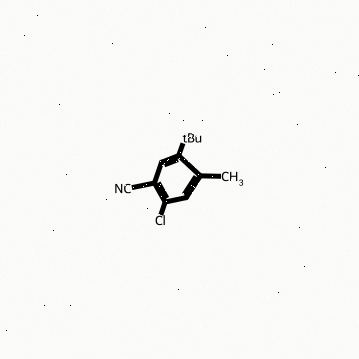 Cc1cc(Cl)c(C#N)cc1C(C)(C)C